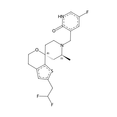 C[C@H]1C[C@@]2(CCN1Cc1cc(F)c[nH]c1=O)OCCc1cc(CC(F)F)sc12